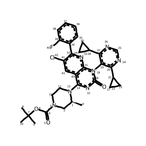 C[C@H]1CN(C(=O)OC(C)(C)C)CCN1c1nc(=O)n(-c2c(C3CC3)ncnc2C2CC2)c2nc(-c3ccccc3F)c(Cl)cc12